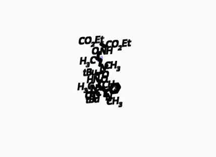 CCOC(=O)CC(NC(=O)/C(C)=C/CN(C)C(=O)C(NC(=O)C(N(C)C(=O)OC(C)(C)C)C(C)(C)c1cn(C)c2ccccc12)C(C)(C)C)C(=O)OCC